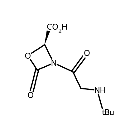 CC(C)(C)NCC(=O)N1C(=O)O[C@H]1C(=O)O